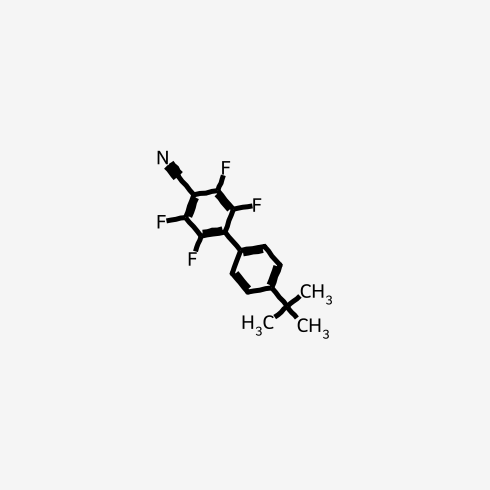 CC(C)(C)c1ccc(-c2c(F)c(F)c(C#N)c(F)c2F)cc1